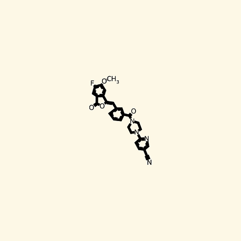 COc1cc2c(cc1F)C(=O)OC2=Cc1cccc(C(=O)N2CCN(c3ccc(C#N)cn3)CC2)c1